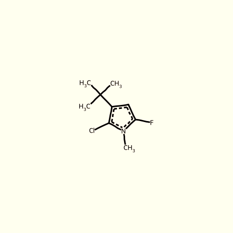 Cn1c(F)cc(C(C)(C)C)c1Cl